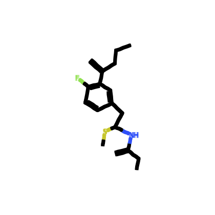 C=C(CC)NC(Cc1ccc(F)c(C(=C)CCC)c1)SC